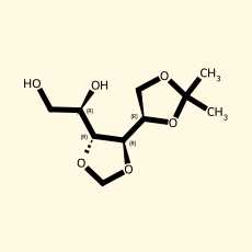 CC1(C)OC[C@H]([C@H]2OCO[C@@H]2[C@H](O)CO)O1